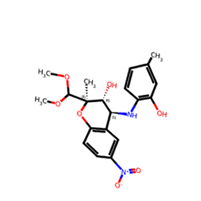 COC(OC)[C@]1(C)Oc2ccc([N+](=O)[O-])cc2[C@H](Nc2ccc(C)cc2O)[C@H]1O